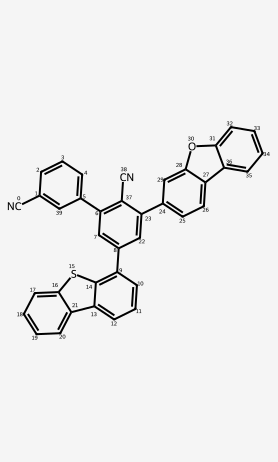 N#Cc1cccc(-c2cc(-c3cccc4c3sc3ccccc34)cc(-c3ccc4c(c3)oc3ccccc34)c2C#N)c1